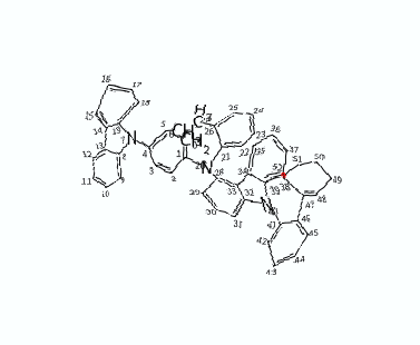 C=C(/C=C\C(=C/C)n1c2ccccc2c2ccccc21)N(c1ccccc1C)c1cccc2c1c1ccccc1n2-c1ccccc1C1=CCCCC1